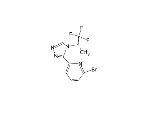 C[C@H](n1cnnc1-c1cccc(Br)n1)C(F)(F)F